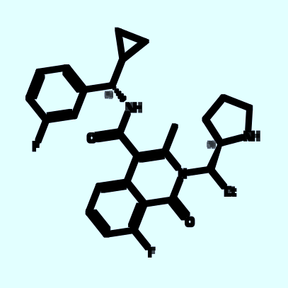 CCC([C@H]1CCCN1)n1c(C)c(C(=O)N[C@H](c2cccc(F)c2)C2CC2)c2cccc(F)c2c1=O